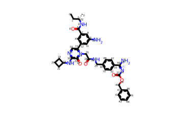 CC[C@H](C)NC(=O)c1cc(N)cc(-c2cnc(NC3CCC3)c(=O)n2CC(=O)NCc2ccc(/C(N)=N\C(=O)OCc3ccccc3)cc2)c1